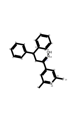 Cc1cc(/C(CC(c2ccccc2)c2ccccc2)=N/O)cc(F)n1